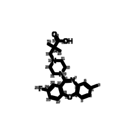 Cc1ccc2c(c1)N=C(N1CCN(CC(C)(C)C(=O)O)CC1)c1cc(F)ccc1O2